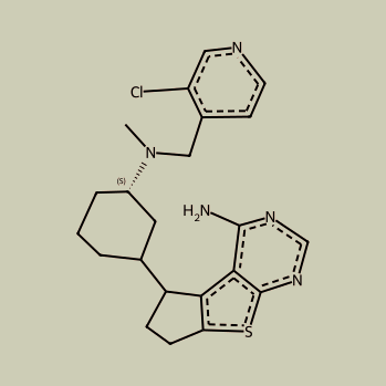 CN(Cc1ccncc1Cl)[C@H]1CCCC(C2CCc3sc4ncnc(N)c4c32)C1